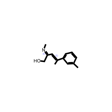 C/N=C(\C=C(/C)c1cccc(C)c1)CO